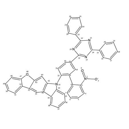 O=[N+]([O-])c1ccccc1-c1cc(-c2nc(-c3ccccc3)nc(-c3ccccc3)n2)ccc1-n1c2ccccc2c2cc3c(cc21)oc1ccccc13